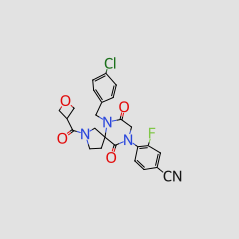 N#Cc1ccc(N2CC(=O)N(Cc3ccc(Cl)cc3)C3(CCN(C(=O)C4COC4)C3)C2=O)c(F)c1